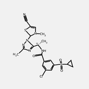 Cc1nc([C@H](C)NC(=O)c2cc(Cl)cc(S(=O)(=O)C3CC3)c2)n(C2SC(C#N)=CN2C)n1